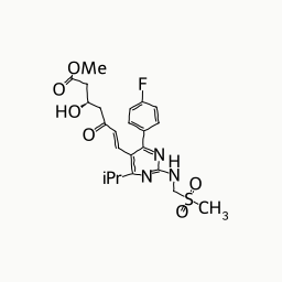 COC(=O)C[C@H](O)CC(=O)C=Cc1c(-c2ccc(F)cc2)nc(NCS(C)(=O)=O)nc1C(C)C